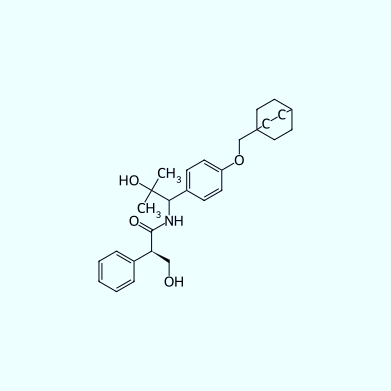 CC(C)(O)C(NC(=O)[C@@H](CO)c1ccccc1)c1ccc(OCC23CCC(CC2)CC3)cc1